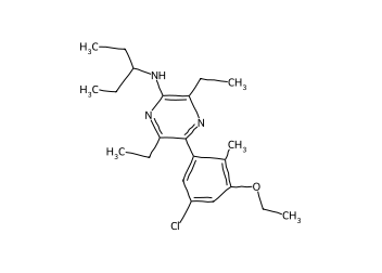 CCOc1cc(Cl)cc(-c2nc(CC)c(NC(CC)CC)nc2CC)c1C